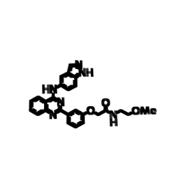 COCCNC(=O)COc1cccc(-c2nc(Nc3ccc4[nH]ncc4c3)c3ccccc3n2)c1